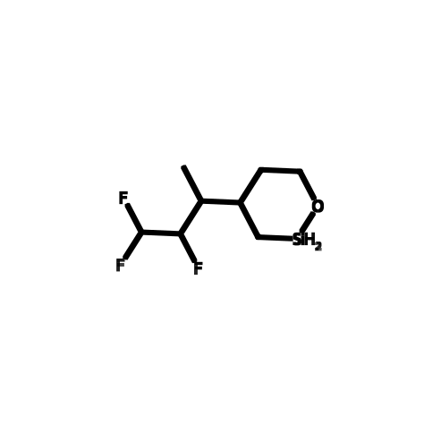 CC(C1CCO[SiH2]C1)C(F)C(F)F